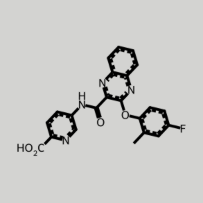 Cc1cc(F)ccc1Oc1nc2ccccc2nc1C(=O)Nc1ccc(C(=O)O)nc1